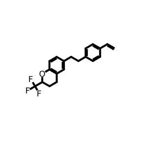 C=Cc1ccc(CCc2ccc3c(c2)CCC(C(F)(F)F)O3)cc1